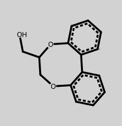 OCC1COc2ccccc2-c2[c]cccc2O1